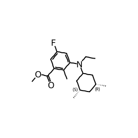 CCN(c1cc(F)cc(C(=O)OC)c1C)C1C[C@@H](C)C[C@@H](C)C1